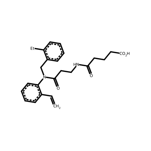 C=Cc1ccccc1N(Cc1ccccc1CC)C(=O)CCNC(=O)CCCC(=O)O